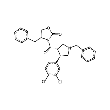 O=C1OCC(Cc2ccccc2)N1C(=O)[C@@H]1CN(Cc2ccccc2)C[C@H]1c1ccc(Cl)c(Cl)c1